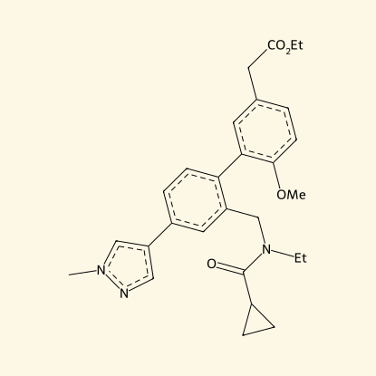 CCOC(=O)Cc1ccc(OC)c(-c2ccc(-c3cnn(C)c3)cc2CN(CC)C(=O)C2CC2)c1